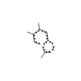 CC(C)(C)c1nnc2cc(I)c(F)cn12